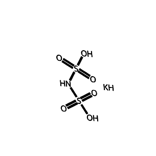 O=S(=O)(O)NS(=O)(=O)O.[KH]